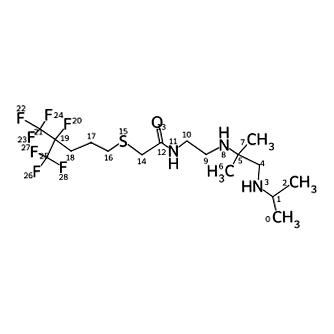 CC(C)NCC(C)(C)NCCNC(=O)CSCCCC(F)(C(F)(F)F)C(F)(F)F